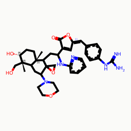 C[C@]12CC[C@@H](O)[C@@](C)(CO)C1CC(N1CCOCC1)C1(CO1)C2CC(Nc1ccccn1)C1=C/C(=C\c2ccc(NC(=N)N)cc2)OC1=O